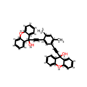 Cc1cc(C)c(C#CC2(O)c3ccccc3Oc3ccccc32)cc1C#CC1(O)c2ccccc2Oc2ccccc21